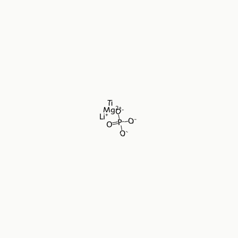 O=P([O-])([O-])[O-].[Li+].[Mg+2].[Ti]